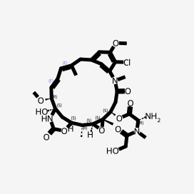 COc1cc2cc(c1Cl)N(C)C(=O)C[C@H](OC(=O)[C@H](N)N(C)C(=O)CO)[C@]1(C)O[C@H]1[C@H](C)[C@@H]1C[C@@](O)(NC(=O)O1)[C@H](OC)/C=C/C=C(\C)C2